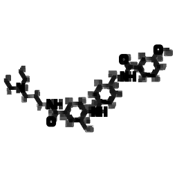 CCN(CC)CCCNC(=O)c1ccc(Nc2ccc(CNC(=O)c3cccc(OC)c3)cc2)c(C)c1